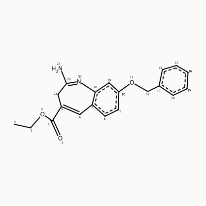 CCOC(=O)C1=Cc2ccc(OCc3ccccc3)cc2N=C(N)C1